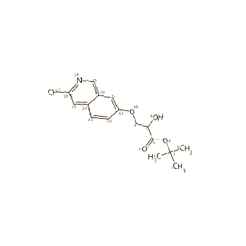 CC(C)(C)OC(=O)C(O)COc1ccc2cc(Cl)ncc2c1